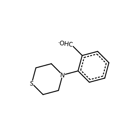 O=[C]c1ccccc1N1CCSCC1